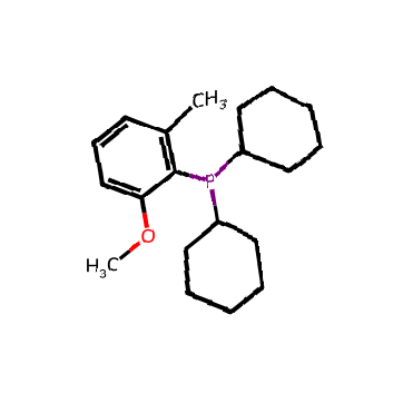 COc1cccc(C)c1P(C1CCCCC1)C1CCCCC1